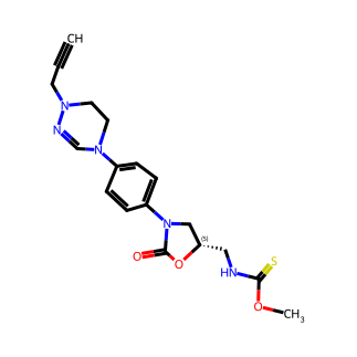 C#CCN1CCN(c2ccc(N3C[C@H](CNC(=S)OC)OC3=O)cc2)C=N1